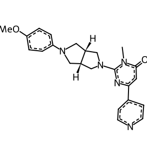 COc1ccc(N2C[C@@H]3CN(c4nc(-c5ccncc5)cc(=O)n4C)C[C@@H]3C2)cc1